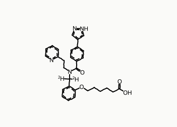 [2H]C([2H])(c1ccccc1OCCCCCC(=O)O)N(CCc1ccccn1)C(=O)c1ccc(-c2cn[nH]c2)cc1